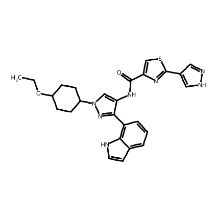 CCOC1CCC(n2cc(NC(=O)c3csc(-c4cn[nH]c4)n3)c(-c3cccc4cc[nH]c34)n2)CC1